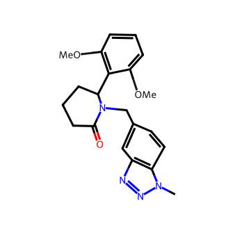 COc1cccc(OC)c1C1CCCC(=O)N1Cc1ccc2c(c1)nnn2C